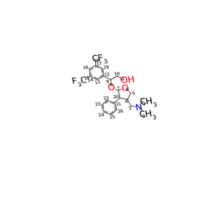 CN(C)CC1COC(OC(CO)c2cc(C(F)(F)F)cc(C(F)(F)F)c2)C1c1ccccc1